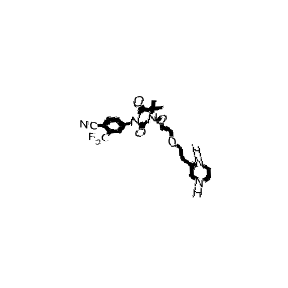 CC1(C)C(=O)N(c2ccc(C#N)c(C(F)(F)F)c2)C(=O)N1OCCOCCC1CNCCN1